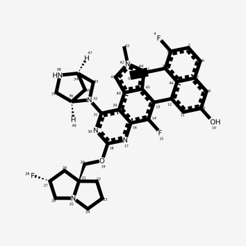 C#Cc1c(F)ccc2cc(O)cc(-c3c(F)c4nc(OC[C@@]56CCCN5C[C@H](F)C6)nc(N5C[C@H]6C[C@@H]5CN6)c4c4cn(C)nc34)c12